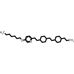 CCCCCCCOc1ccc(CCC2CCC(CCC3CCC(CCC)CC3)CC2)nc1